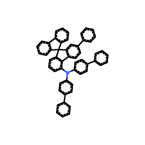 c1ccc(-c2ccc(N(c3ccc(-c4ccccc4)cc3)c3cccc4c3-c3ccc(-c5ccccc5)cc3C43c4ccccc4-c4ccccc43)cc2)cc1